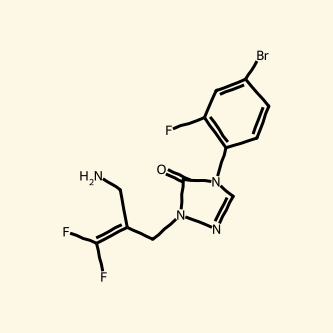 NCC(Cn1ncn(-c2ccc(Br)cc2F)c1=O)=C(F)F